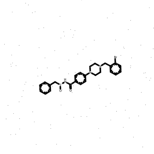 O=C(N[S+]([O-])Cc1ccccc1)c1ccc(N2CCN(Cc3ccccc3Br)CC2)cc1